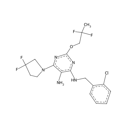 CC(F)(F)COc1nc(NCc2ccccc2Cl)c(N)c(N2CCC(F)(F)C2)n1